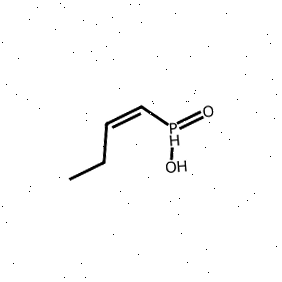 CC/C=C\[PH](=O)O